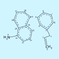 C=CCc1ccccc1.Nc1cccc2ccccc12